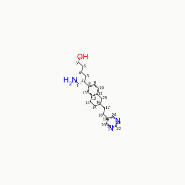 NC[C@H](CCCCO)c1ccc2c(c1)CC[C@H](CCc1cncnc1)C2